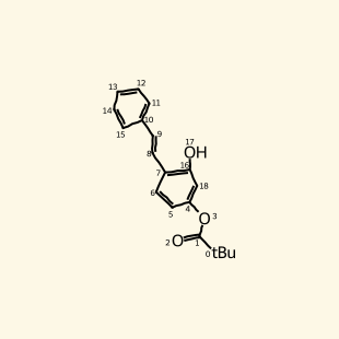 CC(C)(C)C(=O)Oc1ccc(C=Cc2ccccc2)c(O)c1